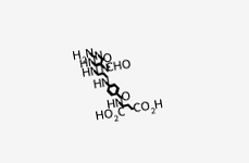 Nc1nc(=O)c2c([nH]1)NCC(CNc1ccc(C(=O)N[C@H](CCC(=O)O)C(=O)O)cc1)N2C=O